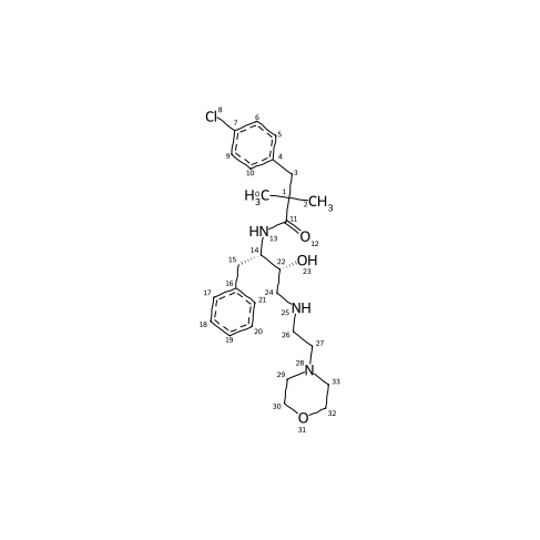 CC(C)(Cc1ccc(Cl)cc1)C(=O)N[C@@H](Cc1ccccc1)[C@H](O)CNCCN1CCOCC1